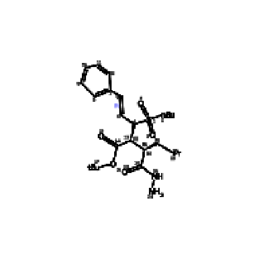 CCCCS(=O)(=O)C(/C=C/c1ccccc1)[C@H](C(=O)OC(C)(C)C)[C@@H](CC(C)C)C(=O)NN